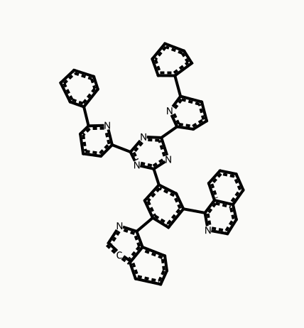 c1ccc(-c2cccc(-c3nc(-c4cc(-c5nccc6ccccc56)cc(-c5nccc6ccccc56)c4)nc(-c4cccc(-c5ccccc5)n4)n3)n2)cc1